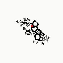 CN[C@@](C)(CO[C@H]1[C@H](n2ncnc2Br)C[C@@]23COC[C@]1(C)[C@@H]2CC[C@H]1C3=CC[C@@]2(C)[C@H](C(=O)O)[C@@](C)([C@H](C)C(C)C)CC[C@]12C)C(C)C